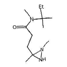 CCC(C)(C)N(C)C(=O)CCC1(C)NN1C